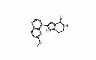 COc1ccc2nccc(-c3cc4c([nH]3)CCNC4=O)c2n1